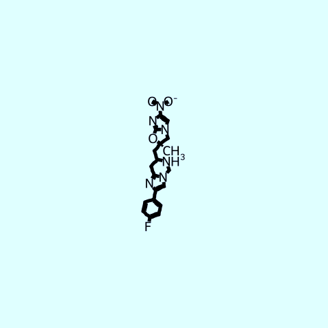 C[C@]1(CC2Cc3nc(-c4ccc(F)cc4)cn3CN2)Cn2cc([N+](=O)[O-])nc2O1